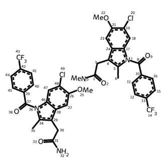 CNC(=O)Cc1c(C)n(C(=O)c2ccc(C(F)(F)F)cc2)c2cc(Cl)c(OC)cc12.COc1cc2c(CC(N)=O)c(C)n(C(=O)c3ccc(C(F)(F)F)cc3)c2cc1Cl